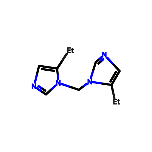 CCc1cncn1Cn1cncc1CC